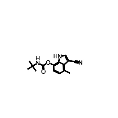 Cc1ccc(OC(=O)NC(C)(C)C)c2[nH]cc(C#N)c12